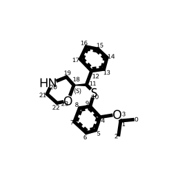 CC(C)Oc1ccccc1SC(c1ccccc1)[C@@H]1CNCCO1